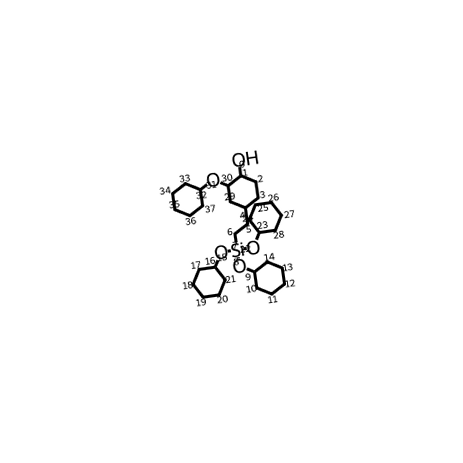 OC1CCC(CC[Si](OC2CCCCC2)(OC2CCCCC2)OC2CCCCC2)CC1OC1CCCCC1